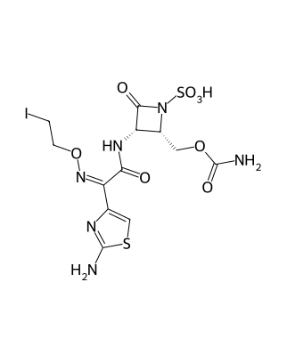 NC(=O)OC[C@@H]1[C@H](NC(=O)/C(=N\OCCI)c2csc(N)n2)C(=O)N1S(=O)(=O)O